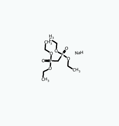 CCOP(=O)(CP(=O)(OCC)OCC)OCC.[NaH]